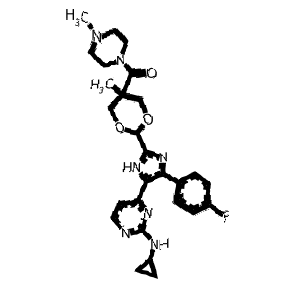 CN1CCN(C(=O)C2(C)COC(c3nc(-c4ccc(F)cc4)c(-c4ccnc(NC5CC5)n4)[nH]3)OC2)CC1